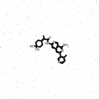 CC(C(=O)Nc1cc2cc(-c3cnccc3C)nc(N)c2cn1)=C1CCC(C#N)(C#N)CC1